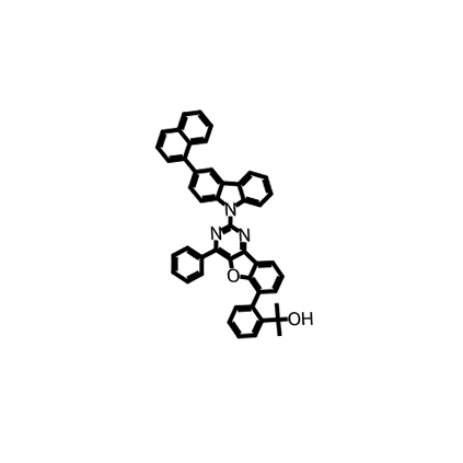 CC(C)(O)c1ccccc1-c1cccc2c1oc1c(-c3ccccc3)nc(-n3c4ccccc4c4cc(-c5cccc6ccccc56)ccc43)nc12